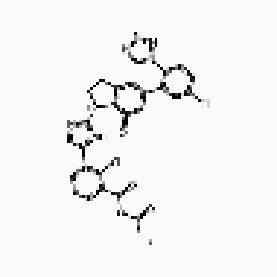 O=C(OC(=O)C(F)(F)F)c1cccc(-c2cnc([C@@H]3CCc4cc(-c5cc(Cl)ccc5-n5cnnn5)cc(=O)n43)[nH]2)c1Cl